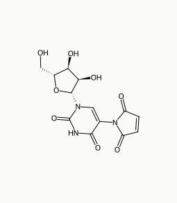 O=C1C=CC(=O)N1c1cn([C@@H]2O[C@H](CO)[C@@H](O)[C@H]2O)c(=O)[nH]c1=O